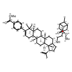 C=C(C)[C@@H]1CC[C@]2(NCCN3CC4C(C)C(C3)N4C(=O)OC(C)(C)C)CC[C@]3(C)[C@H](CC[C@@H]4[C@@]5(C)CC=C(c6ccc(C(=O)OC)cc6)C(C)(C)[C@@H]5CC[C@]43C)[C@@H]12